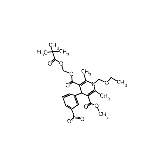 CCOCN1C(C)=C(C(=O)OC)C(c2cccc([N+](=O)[O-])c2)C(C(=O)OCOC(=O)C(C)(C)C)=C1C